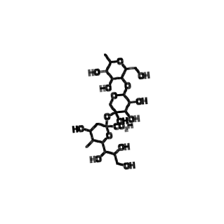 CC1OC(CO)C(OC2OCC(O)(OC3(C(=O)O)CC(O)C(C)C(C(O)C(O)CO)O3)C(O)C2O)C(O)C1O